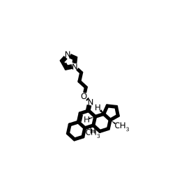 C[C@@]12CCC[C@H]1[C@@H]1C(=NOCCCn3ccnc3)C=C3CCCC[C@]3(C)[C@H]1CC2